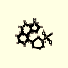 CS(=O)(=O)N1CCCC(c2nccc3nnc4[nH]ccc4c23)C1